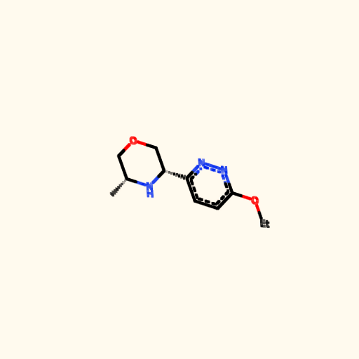 CCOc1ccc([C@H]2COC[C@@H](C)N2)nn1